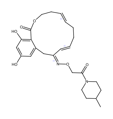 CC1CCN(C(=O)CO/N=C2\C=C\CC/C=C/CCOC(=O)c3c(O)cc(O)cc3C2)CC1